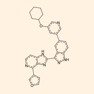 c1cc2[nH]c(-c3n[nH]c4ccc(-c5cncc(OC6CCCCC6)c5)cc34)nc2c(-c2ccoc2)n1